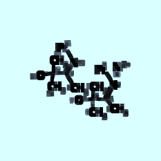 CC(=NC(C)C)C(C)(C)[O-].CC(=NC(C)C)C(C)(C)[O-].[Ni+2]